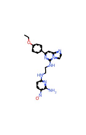 CCOc1ccc(-c2cc3nccn3c(NCCNc3ccc(N=O)c(N)n3)n2)cc1